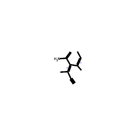 C#C/C(C)=C(C(=C)N)\C(C)=C/C